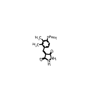 CCCCCc1ccc(C=C2C(=O)NNC2=O)c(C)c1C